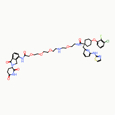 O=C1CCC(N2Cc3c(NC(=O)COCCOCCOCCNCCOCCNC(=O)[C@]4(Cc5cccc(Nc6nccs6)n5)CC[C@@H](Oc5cccc(Cl)c5F)CC4)cccc3C2=O)C(=O)N1